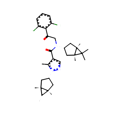 CC1(C)[C@@H]2C[C@H](N(CC(=O)c3c(Cl)cccc3Cl)C(=O)c3cnn([C@H]4C[C@@H]5[C@H](C4)[C@@H]5C(=O)O)c3C(F)(F)F)C[C@@H]21